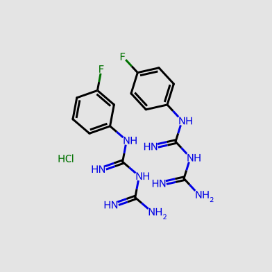 Cl.N=C(N)NC(=N)Nc1ccc(F)cc1.N=C(N)NC(=N)Nc1cccc(F)c1